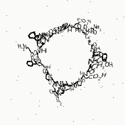 CCCC[C@H]1C(=O)N(C)[C@@H](CCCC)C(=O)N[C@@H](CCC(=O)O)C(=O)N[C@H](C(=O)NCC(N)=O)CSCC(=O)N[C@@H](Cc2ccc(O)cc2)C(=O)N(C)[C@@H](C)C(=O)N[C@@H](CC(=O)O)C(=O)N2CCC[C@H]2C(=O)N[C@@H](Cc2c[nH]cn2)C(=O)N[C@@H](CCC(=O)CN)C(=O)N2CCC[C@H]2C(=O)N[C@@H](Cc2c[nH]c3ccccc23)C(=O)N[C@@H](CCCCN)C(=O)N[C@@H](Cc2c[nH]c3ccccc23)C(=O)N1C